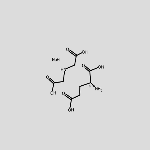 N[C@@H](CCC(=O)O)C(=O)O.O=C(O)CNCC(=O)O.[NaH]